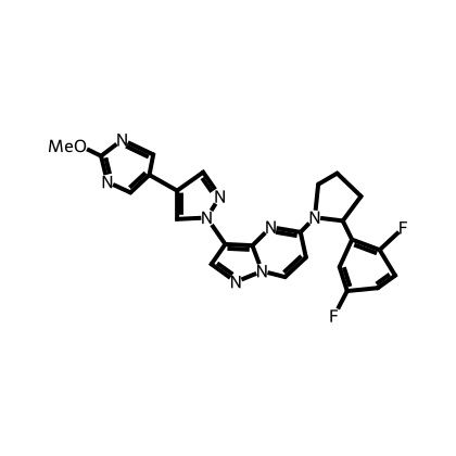 COc1ncc(-c2cnn(-c3cnn4ccc(N5CCCC5c5cc(F)ccc5F)nc34)c2)cn1